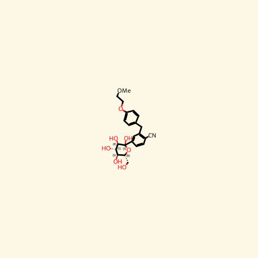 COCCOc1ccc(Cc2cc([C@]3(O)O[C@H](CO)[C@@H](O)[C@H](O)[C@H]3O)ccc2C#N)cc1